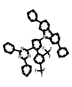 FC(F)(F)c1ccc(-c2cc(-n3c4cc(-c5ccccc5)ccc4c4ccc(-c5ccccc5)cc43)ccc2-c2nc(-c3ccccc3)nc(-c3ccccc3)n2)c(C(F)(F)F)c1